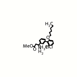 C=CCCCCOc1cccc(C)c1-c1cccc([C@@H](N)CC(=O)OC)c1.Cl